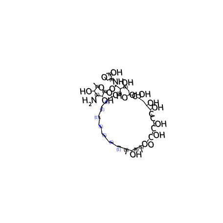 C[C@@H]1OC(=O)CC(O)CC(O)CCC(O)C(O)CC(O)CC2(O)C[C@H](O)C(C(=O)N[C@@H]3COC[C@H]3O)[C@H](CC(O[C@@H]3O[C@H](C)C(O)[C@H](N)C3O)/C=C/C=C/C=C/C=C/C=C/C=C/C=C/[C@H](C)C(O)[C@H]1C)O2